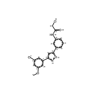 COc1cc(Cl)cc(-c2cc(-c3cccc(NC(=O)CCl)c3)on2)c1